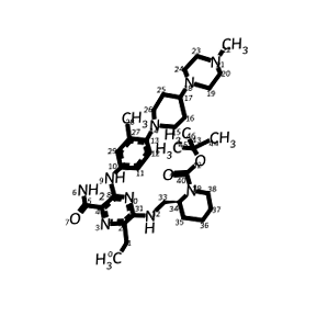 CCc1nc(C(N)=O)c(Nc2ccc(N3CCC(N4CCN(C)CC4)CC3)c(C)c2)nc1NC[C@@H]1CCCCN1C(=O)OC(C)(C)C